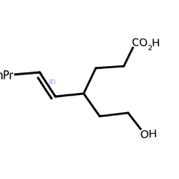 CCC/C=C/C(CCO)CCC(=O)O